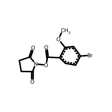 COc1cc(Br)ccc1C(=O)ON1C(=O)CCC1=O